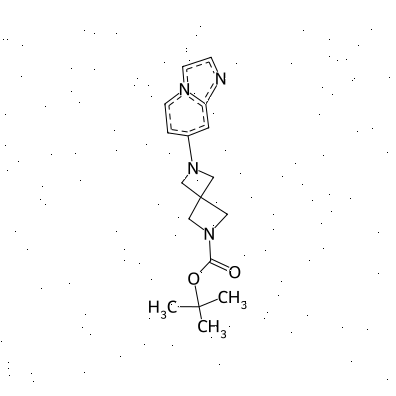 CC(C)(C)OC(=O)N1CC2(C1)CN(c1ccn3ccnc3c1)C2